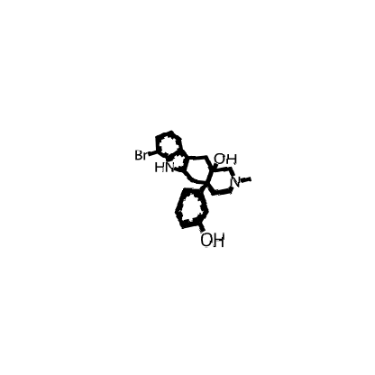 CN1CCC2(c3cccc(O)c3)Cc3[nH]c4c(Br)cccc4c3CC2(O)C1